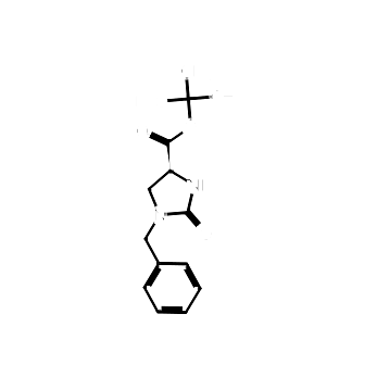 CC(C)(C)OC(=O)[C@@H]1CN(Cc2ccccc2)C(=O)N1